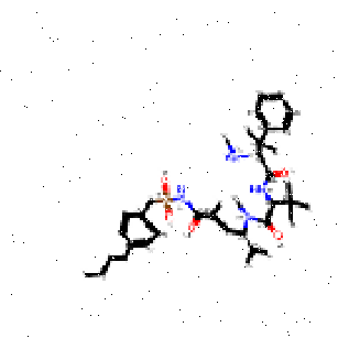 CCCCc1ccc(CS(=O)(=O)NC(=O)/C(C)=C/[C@H](C(C)C)N(C)C(=O)C(NC(=O)[C@@H](NC)C(C)(C)c2ccccc2)C(C)(C)C)cc1